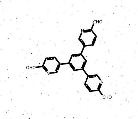 O=Cc1ccc(-c2cc(-c3ccc(C=O)nc3)cc(-c3ccc(C=O)nc3)c2)cn1